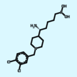 N[C@H](CCCCB(O)O)C1CCN(Cc2ccc(Cl)c(Cl)c2)CC1